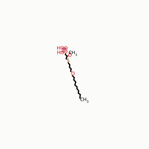 CCCCCCCCCCCCOCCCCCSCC(COP(=O)(O)O)OC